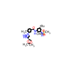 COc1c(NC(=O)c2ccc(C)c(N3C=C([C@H]4COC(C)(C)O4)NN3)c2)cc(C(C)(C)C)cc1NS(C)(=O)=O